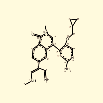 CN/C=C(\C=N)c1ccc2c(=O)n(C)cc(-c3nc(N)ncc3OCC3CC3)c2c1